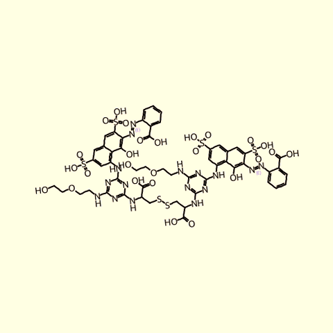 O=C(O)c1ccccc1/N=N/c1c(S(=O)(=O)O)cc2cc(S(=O)(=O)O)cc(Nc3nc(NCCOCCO)nc(NC(CSSCC(Nc4nc(NCCOCCO)nc(Nc5cc(S(=O)(=O)O)cc6cc(S(=O)(=O)O)c(/N=N/c7ccccc7C(=O)O)c(O)c56)n4)C(=O)O)C(=O)O)n3)c2c1O